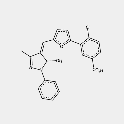 CC1=NN(c2ccccc2)C(O)/C1=C\c1ccc(-c2cc(C(=O)O)ccc2Cl)o1